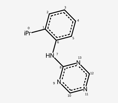 CC(C)c1ccccc1Nc1ncncn1